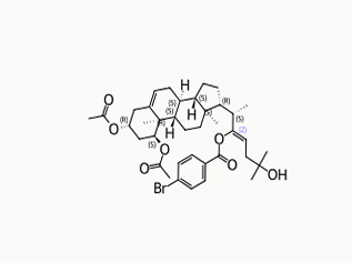 CC(=O)O[C@@H]1CC2=CC[C@H]3[C@@H]4CC[C@H]([C@H](C)/C(=C/CC(C)(C)O)OC(=O)c5ccc(Br)cc5)[C@@]4(C)CC[C@@H]3[C@@]2(C)[C@@H](OC(C)=O)C1